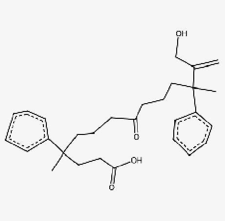 C=C(CO)C(C)(CCCC(=O)CCCC(C)(CCC(=O)O)c1ccccc1)c1ccccc1